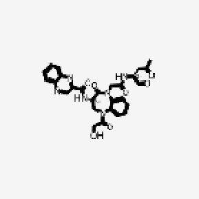 CC(=O)C[C@@H](C=O)NC(=O)CN1C(=O)[C@@H](NC(=O)c2cnc3ccccc3n2)CN(C(=O)CO)c2ccccc21